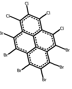 Clc1c(Cl)c2c(Cl)c(Br)c3c(Br)c(Br)c(Br)c4c(Br)c(Br)c(c1Cl)c2c34